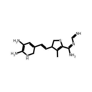 CC1=C(/C(N)=N\C=N)SCC1/C=C/C1=CC(N)=C(N)NC1